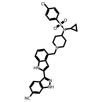 N#Cc1ccc2c(-c3cc4c(CN5CCC(N(C6CC6)S(=O)(=O)c6ccc(Cl)cc6)CC5)cccc4[nH]3)n[nH]c2c1